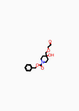 O=CCOCC1(O)CCN(C(=O)OCc2ccccc2)CC1